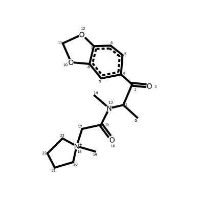 CC(C(=O)c1ccc2c(c1)OCO2)N(C)C(=O)C[N+]1(C)CCCC1